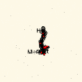 CCc1cccc2cc(OCOC)cc(-c3ncc4c(N5CC6CCC(C6)C5)nc(N5CCN(CC6CCN(C7CCN(c8ccc9c(c8)CN(C8CCC(=O)NC8=O)C9=O)CC7)CC6)C[C@@H]5C)nc4c3F)c12